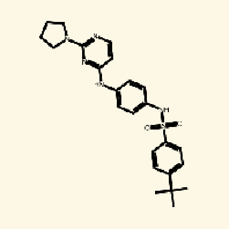 CC(C)(C)c1ccc(S(=O)(=O)Nc2ccc(Nc3ccnc(N4CCCC4)n3)cc2)cc1